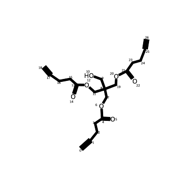 C#CCCC(=O)OCC(CO)(COC(=O)CCC#C)COC(=O)CCC#C